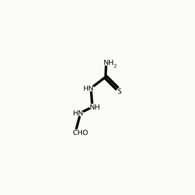 NC(=S)NNNC=O